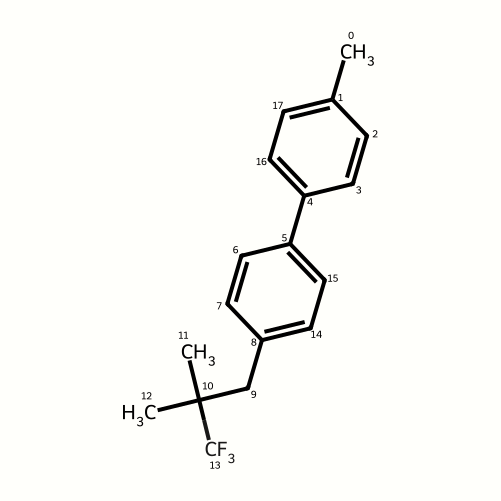 Cc1ccc(-c2ccc(CC(C)(C)C(F)(F)F)cc2)cc1